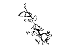 CN1C(N)=N[C@](C)(c2nc(NC(=O)c3coc(CF)n3)cs2)CS1(=O)=O